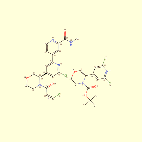 CC(C)(C)OC(=O)N1CCOC=C1c1cc(Cl)nc(Cl)c1.CNC(=O)c1cc(-c2cc([C@@H]3COCCN3C(=O)/C=C\Cl)cc(Cl)n2)ccn1